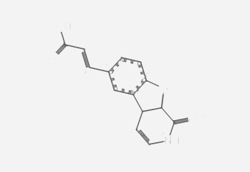 O=C(O)/C=C/c1ccc2c(c1)C1C=CNC(=O)C1O2